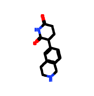 O=C1CCC(c2ccc3c(c2)CCNC3)C(=O)N1